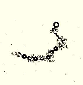 COc1cc2c(cc1OCCCOc1cc3c(cc1OC)C(=O)N1C=C(c4ccc(N5CCN(C)CC5)cc4)C[C@H]1C=N3)N=C[C@@H]1CC(c3ccc(NC(=O)[C@H](C)NC(=O)C(NC(=O)CCCCCN4C(=O)CC(C5CCCCCCC5)C4=O)C(C)C)cc3)=CN1C2=O